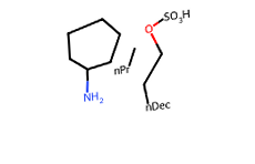 CCCC.CCCCCCCCCCCCOS(=O)(=O)O.NC1CCCCC1